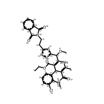 CCOC(=O)C1=C(C(OC)c2nnc(CCN3C(=O)c4ccccc4C3=O)s2)NC(C)=C(C(=O)OC)C1c1cccc(Cl)c1Cl